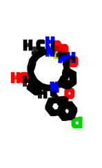 C[C@H]1C/C=C\[C@H](O)[C@@H]2CC[C@H]2CN2C[C@@]3(CCCc4cc(Cl)ccc43)COc3ccc(cc32)C(=O)NS(=O)(=O)N1